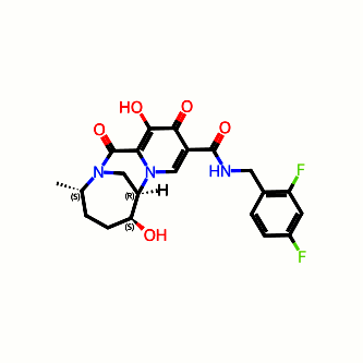 C[C@H]1CC[C@H](O)[C@H]2CN1C(=O)c1c(O)c(=O)c(C(=O)NCc3ccc(F)cc3F)cn12